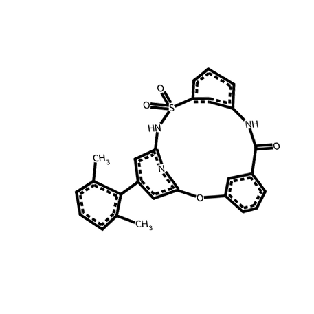 Cc1cccc(C)c1-c1cc2nc(c1)Oc1cccc(c1)C(=O)Nc1cccc(c1)S(=O)(=O)N2